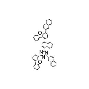 c1ccc2cc(-c3nc(-c4ccc(-c5ccc(-c6ccc7ccccc7c6)c6oc7ccccc7c56)c5ccccc45)nc(-c4cccc5c4oc4ccccc45)n3)ccc2c1